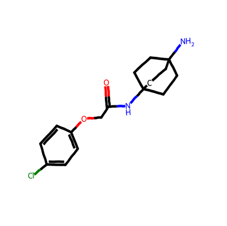 NC12CCC(NC(=O)COc3ccc(Cl)cc3)(CC1)CC2